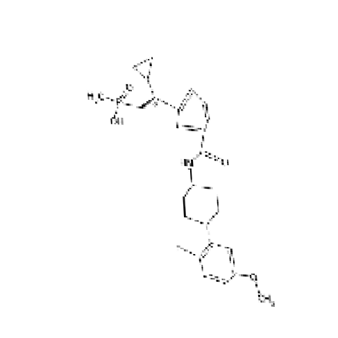 COc1ccc(F)c([C@H]2CC[C@H](NC(=O)c3cccc([C@@H](CP(C)(=O)O)C4CC4)c3)CC2)c1